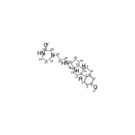 COc1ccc2c(c1)CC[C@@H]1[C@@H]2CC[C@]2(C)C(NCCCN3CCCNC(=O)C3)CC[C@@H]12